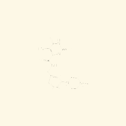 C=C1NC(=O)NC(C(=O)NCc2cccc(N3CCN(C)CC3)c2)=C1N